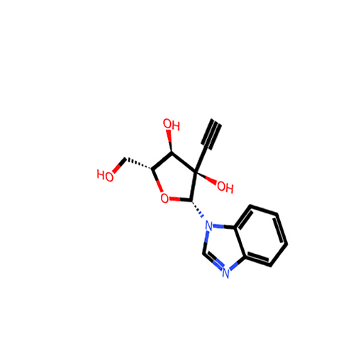 C#C[C@@]1(O)[C@H](O)[C@@H](CO)O[C@H]1n1cnc2ccccc21